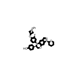 CCCN1CC(Oc2ccc(N3c4cc5cnn(C6CCCCO6)c5cc4OC[C@H]3c3ccc(O)cc3)cc2F)C1